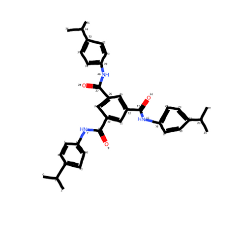 CC(C)c1ccc(NC(=O)c2cc(C(=O)Nc3ccc(C(C)C)cc3)cc(C(=O)Nc3ccc(C(C)C)cc3)c2)cc1